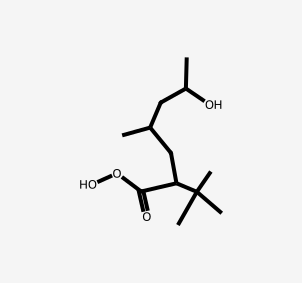 CC(O)CC(C)CC(C(=O)OO)C(C)(C)C